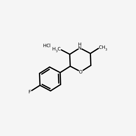 CC1COC(c2ccc(F)cc2)C(C)N1.Cl